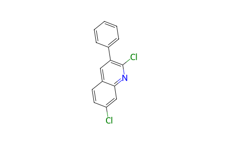 Clc1ccc2cc(-c3ccccc3)c(Cl)nc2c1